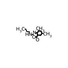 CCCCNc1nc2c(C)cc(C)cc2c(=O)o1